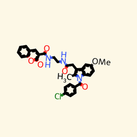 COc1ccc2c(c1)c(CC(=O)NCCNC(=O)c1cc3ccccc3oc1=O)c(C)n2C(=O)c1ccc(Cl)cc1